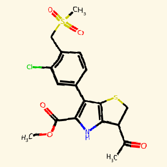 COC(=O)c1[nH]c2c(c1-c1ccc(CS(C)(=O)=O)c(Cl)c1)SCC2C(C)=O